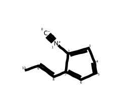 [C-]#[N+]c1ccccc1/C=C/C